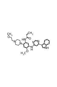 C=CC(=O)Nc1cc(Nc2cc(-c3c[nH]c4ccccc34)ncn2)c(OC)cc1N1CCN(CCOC)CC1